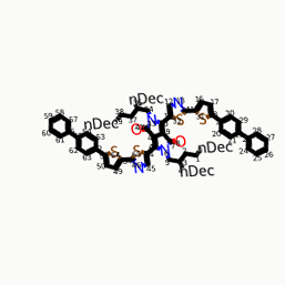 CCCCCCCCCCCCC(CCCCCCCCCC)CN1C(=O)C2=C(c3cnc(-c4ccc(-c5ccc(-c6ccccc6)cc5)s4)s3)N(CC(CCCCCCCCCC)CCCCCCCCCCCC)C(=O)C2=C1c1cnc(-c2ccc(-c3ccc(-c4ccccc4)cc3)s2)s1